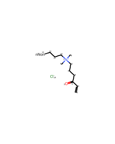 C=CC(=O)CCC[N+](C)(C)CCCCCCCCCCCC.[Cl-]